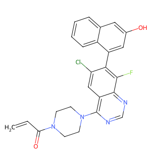 C=CC(=O)N1CCN(c2ncnc3c(F)c(-c4cc(O)cc5ccccc45)c(Cl)cc23)CC1